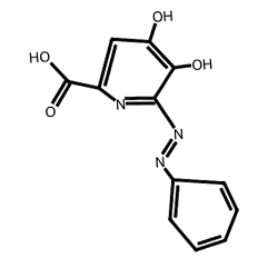 O=C(O)c1cc(O)c(O)c(N=Nc2ccccc2)n1